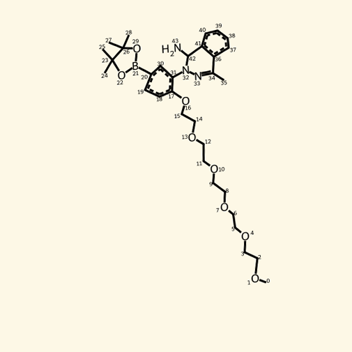 COCCOCCOCCOCCOCCOc1ccc(B2OC(C)(C)C(C)(C)O2)cc1N1N=C(C)c2ccccc2C1N